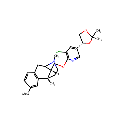 COc1ccc2c(c1)[C@@]1(C)CCN(C)C(C2)[C@@H]1COc1ncc([C@@H]2COC(C)(C)O2)cc1Cl